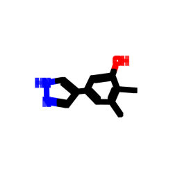 Cc1cc(-c2cn[nH]c2)cc(O)c1C